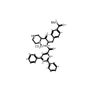 CCOC(=O)N1CCNCC1C(=O)C(Cc1ccc(C(=O)OC)cc1)NC(=O)c1cc(-c2ccccc2)nc(-c2ccccc2)n1